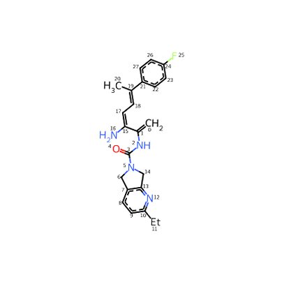 C=C(NC(=O)N1Cc2ccc(CC)nc2C1)/C(N)=C\C=C(/C)c1ccc(F)cc1